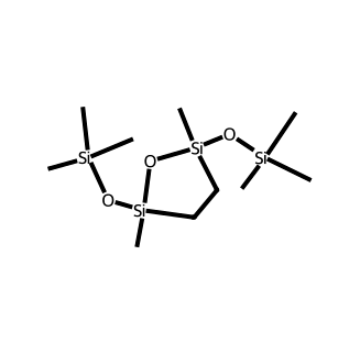 C[Si](C)(C)O[Si]1(C)CC[Si](C)(O[Si](C)(C)C)O1